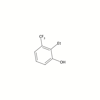 CCc1c(O)cccc1C(F)(F)F